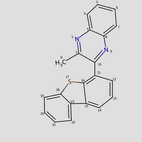 Cc1nc2ccccc2nc1-c1cccc2c1sc1ccccc12